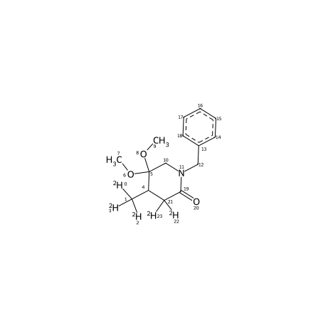 [2H]C([2H])([2H])C1C(OC)(OC)CN(Cc2ccccc2)C(=O)C1([2H])[2H]